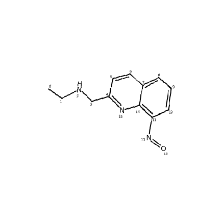 CCNCc1ccc2cccc(N=O)c2n1